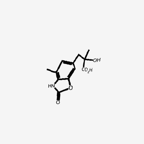 Cc1cc(CC(C)(O)C(=O)O)cc2oc(=O)[nH]c12